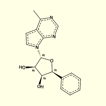 Cc1ncnc2c1ccn2[C@@H]1O[C@@H](c2ccccc2)[C@@H](O)[C@H]1O